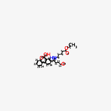 CCOC(=O)CCCCNC(CCC=O)c1ccc(-c2ccccc2)c(C(=O)O)c1